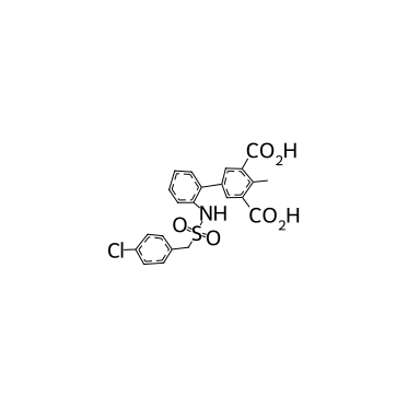 Cc1c(C(=O)O)cc(-c2ccccc2NS(=O)(=O)Cc2ccc(Cl)cc2)cc1C(=O)O